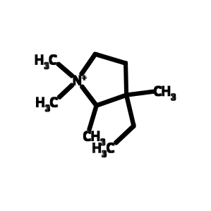 CCC1(C)CC[N+](C)(C)C1C